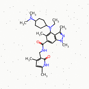 CCN(c1c(C)c(C(=O)NCc2c(C)cc(C)[nH]c2=O)cc2c1c(C)nn2C)C1CCC(N(C)C)CC1